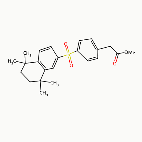 COC(=O)Cc1ccc(S(=O)(=O)c2ccc3c(c2)C(C)(C)CCC3(C)C)cc1